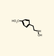 O=C(O)c1ccc(CCNO)cc1